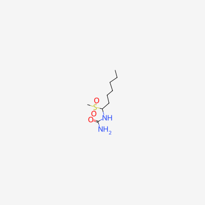 CCCCCCC(NC(N)=O)S(C)(=O)=O